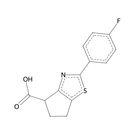 O=C(O)C1CCc2sc(-c3ccc(F)cc3)nc21